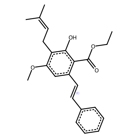 CCOC(=O)c1c(/C=C/c2ccccc2)cc(OC)c(CC=C(C)C)c1O